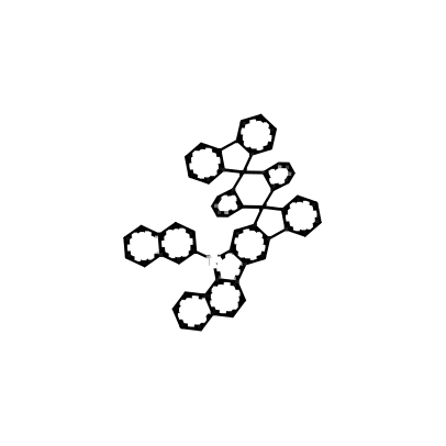 c1ccc2c(c1)-c1ccccc1C21c2ccccc2C2(c3ccccc3-c3cc4c5ccc6ccccc6c5n(-c5ccc6ccccc6c5)c4cc32)c2ccccc21